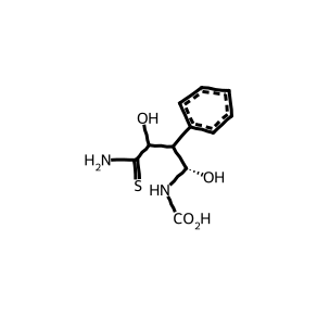 NC(=S)C(O)C(c1ccccc1)[C@H](O)NC(=O)O